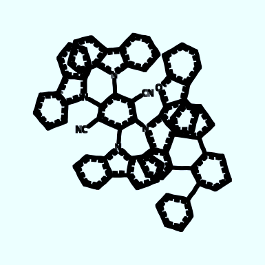 N#Cc1c(-n2c3ccccc3c3ccccc32)c(-n2c3ccccc3c3ccccc32)c(C#N)c(-n2c3cccc(-c4c(-c5ccccc5)cccc4-c4ccccc4)c3c3ccc4c5ccccc5oc4c32)c1-n1c2ccccc2c2ccccc21